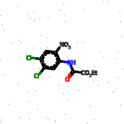 CCOC(=O)C(=O)Nc1cc(Cl)c(Cl)cc1[N+](=O)[O-]